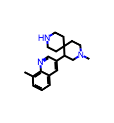 Cc1cccc2cc(C3CN(C)CCC34CCNCC4)cnc12